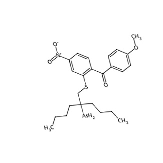 CCCCC([AsH2])(CCCC)CSc1cc([N+](=O)[O-])ccc1C(=O)c1ccc(OC)cc1